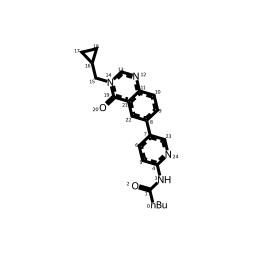 CCCCC(=O)Nc1ccc(-c2ccc3ncn(CC4CC4)c(=O)c3c2)cn1